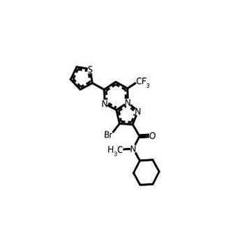 CN(C(=O)c1nn2c(C(F)(F)F)cc(-c3cccs3)nc2c1Br)C1CCCCC1